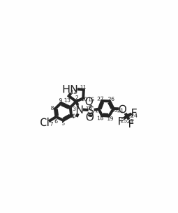 CN(C1(c2ccc(Cl)cc2)CCNC1)S(=O)(=O)c1ccc(OC(F)(F)F)cc1